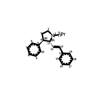 CCCN1CC[C@H](c2ccccc2)[C@H]1C=Cc1ccccc1